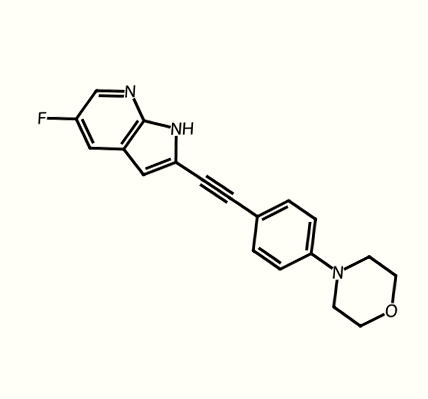 Fc1cnc2[nH]c(C#Cc3ccc(N4CCOCC4)cc3)cc2c1